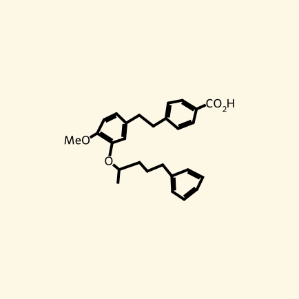 COc1ccc(CCc2ccc(C(=O)O)cc2)cc1OC(C)CCCc1ccccc1